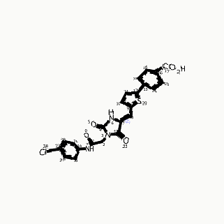 O=C(CN1C(=O)N/C(=C\c2ccc(-c3ccc(C(=O)O)cc3)s2)C1=O)Nc1ccc(Cl)cc1